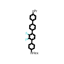 CCCCCCc1ccc(-c2ccc(-c3ccc(-c4ccc(CCC)cc4)cc3)c(F)c2F)cc1